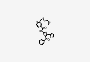 CN(C)CCN(C)Cc1cc(C(=O)Nc2nc(-c3ccco3)c(C(=O)c3ccccc3)s2)ccn1